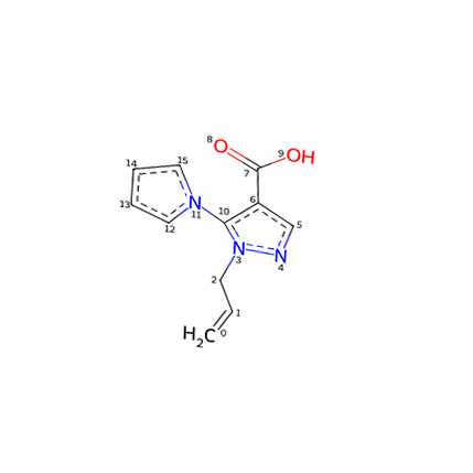 C=CCn1ncc(C(=O)O)c1-n1cccc1